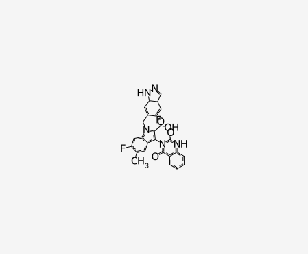 Cc1cc2c(-n3c(=O)[nH]c4ccccc4c3=O)c(C(=O)O)n(CC3=CC4NN=CC4C=C3F)c2cc1F